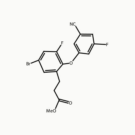 COC(=O)CCc1cc(Br)cc(F)c1Oc1cc(F)cc(C#N)c1